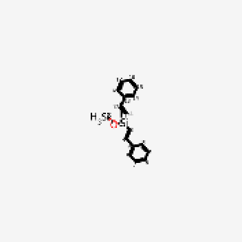 [SiH3]O[SiH](C=Cc1ccccc1)C=Cc1ccccc1